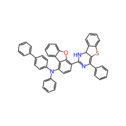 c1ccc(C2=C3Sc4ccccc4C3NC(c3ccc(N(c4ccccc4)c4ccc(-c5ccccc5)cc4)c4c3oc3ccccc34)=N2)cc1